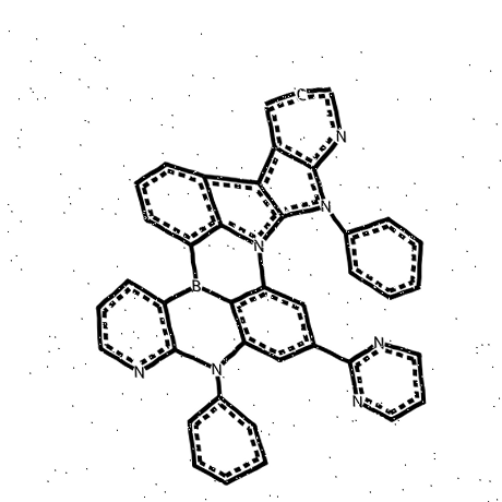 c1ccc(N2c3cc(-c4ncccn4)cc4c3B(c3cccnc32)c2cccc3c5c6cccnc6n(-c6ccccc6)c5n-4c23)cc1